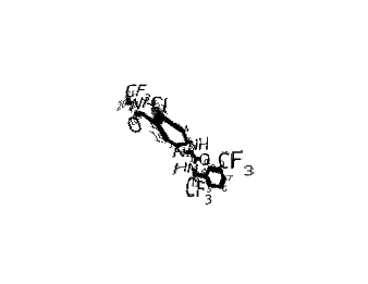 O=C(NC(c1cccc(C(F)(F)F)c1)C(F)(F)F)c1nc2cc(C(=O)NCC(F)(F)F)c(Cl)cc2[nH]1